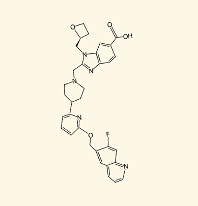 O=C(O)c1ccc2nc(CN3CCC(c4cccc(OCc5cc6cccnc6cc5F)n4)CC3)n(C[C@@H]3CCO3)c2c1